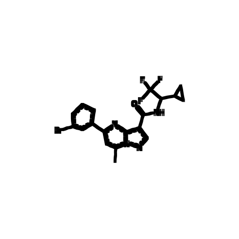 Cc1cc(-c2cccc(Br)c2)nc2c(C(=O)NC(C3CC3)C(F)(F)F)cnn12